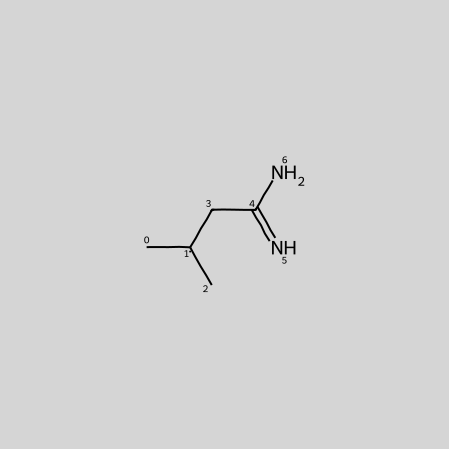 C[C](C)CC(=N)N